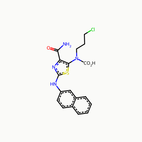 NC(=O)c1nc(Nc2ccc3ccccc3c2)sc1N(CCCCl)C(=O)O